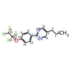 CCCc1cnc(-c2ccc(OC(F)(F)C(F)F)cc2)nc1